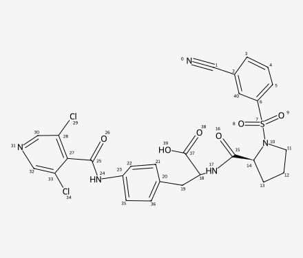 N#Cc1cccc(S(=O)(=O)N2CCC[C@H]2C(=O)NC(Cc2ccc(NC(=O)c3c(Cl)cncc3Cl)cc2)C(=O)O)c1